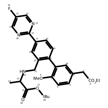 CCOC(=O)Cc1ccc(OC)c(-c2ccc(-c3ncc(F)cn3)cc2CNC(C)C(=O)OC(C)(C)C)c1